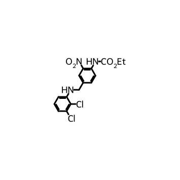 CCOC(=O)Nc1ccc(CNc2cccc(Cl)c2Cl)cc1[N+](=O)[O-]